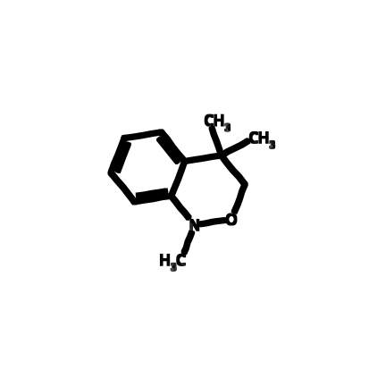 CN1OCC(C)(C)c2ccccc21